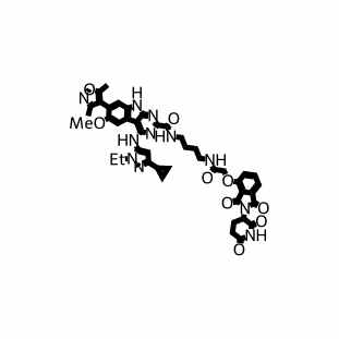 CCn1nc(C2CC2)cc1Nc1nc(C(=O)NCCCCNC(=O)COc2cccc3c2C(=O)N(C2CCC(=O)NC2=O)C3=O)nc2[nH]c3cc(-c4c(C)noc4C)c(OC)cc3c12